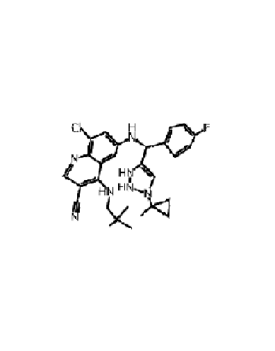 CC(C)(C)CNc1c(C#N)cnc2c(Cl)cc(N[C@H](C3=CN(C4(C)CC4)NN3)c3ccc(F)cc3)cc12